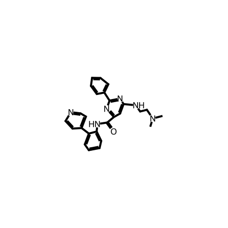 CN(C)CCNc1cc(C(=O)Nc2ccccc2-c2ccncc2)nc(-c2ccccc2)n1